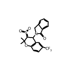 CC1(C)Oc2ccc(C(F)(F)F)cc2C(N2Cc3ccccc3C2=O)C1=S(=O)=O